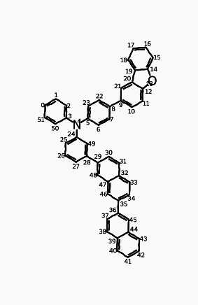 c1ccc(N(c2ccc(-c3ccc4oc5ccccc5c4c3)cc2)c2cccc(-c3ccc4ccc(-c5ccc6ccccc6c5)cc4c3)c2)cc1